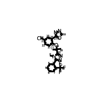 Cn1c(-c2ccccc2C(F)(F)F)nnc1C(C)(C)Oc1ccc(Cl)cc1-c1nnco1